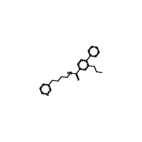 CCCc1cc(C(=S)NCCCCc2cccnc2)ccc1-c1ccccc1